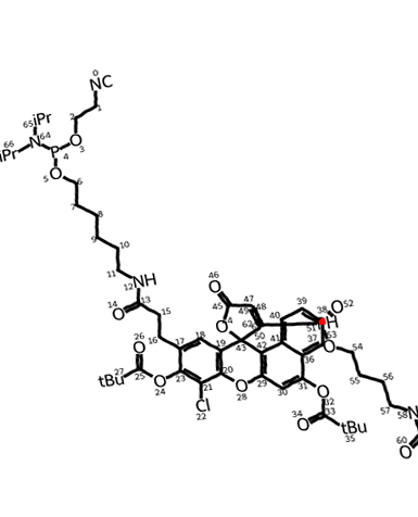 [C-]#[N+]CCOP(OCCCCCCNC(=O)CCc1cc2c(c(Cl)c1OC(=O)C(C)(C)C)Oc1cc(OC(=O)C(C)(C)C)c3ccccc3c1C21OC(=O)c2ccc([PH](=O)OCCCCNC(=O)C(F)(F)F)cc21)N(C(C)C)C(C)C